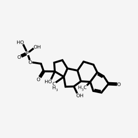 CC12C=CC(=O)C=C1CCC1C2C(O)CC2(C)C1CCC2(O)C(=O)COP(=O)(O)O